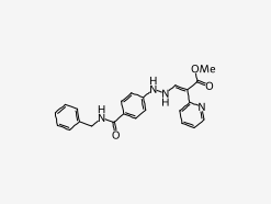 COC(=O)/C(=C/NNc1ccc(C(=O)NCc2ccccc2)cc1)c1ccccn1